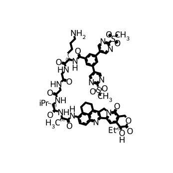 CC[C@@]1(O)C(=O)OCc2c1cc1n(c2=O)Cc2c-1nc1ccc(NC(=O)[C@H](C)NC(=O)[C@@H](NC(=O)CNC(=O)CNC(=O)[C@H](CCCCN)NC(=O)c3cc(-c4cnc(S(C)(=O)=O)nc4)cc(-c4cnc(S(C)(=O)=O)nc4)c3)C(C)C)c3c1c2CCC3